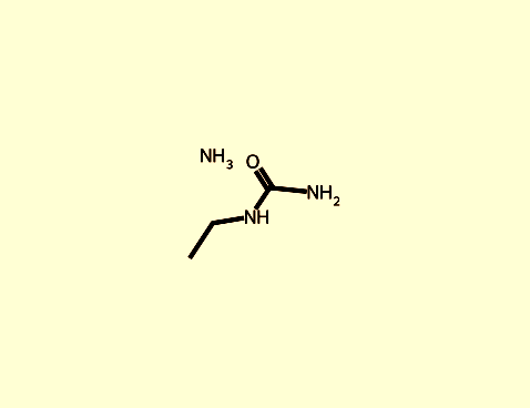 CCNC(N)=O.N